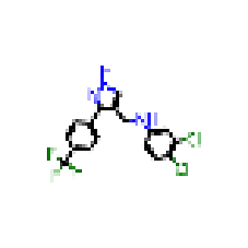 FC(F)(F)c1ccc(-c2n[nH]cc2CNc2ccc(Cl)c(Cl)c2)cc1